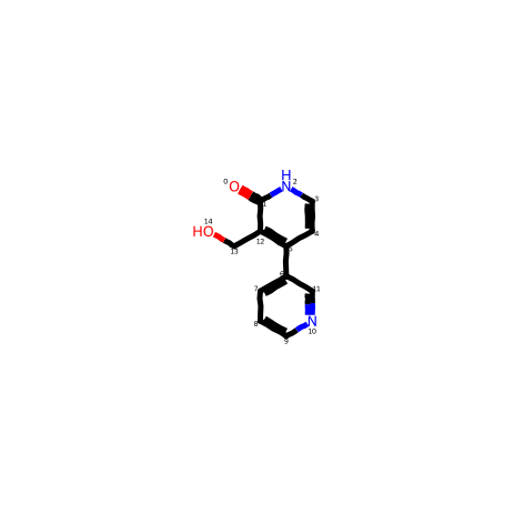 O=c1[nH]ccc(-c2cccnc2)c1CO